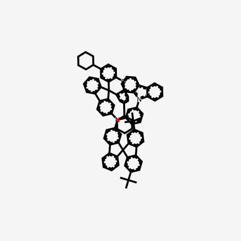 CC(C)(C)c1ccc2c(c1)C1(c3ccccc3-c3ccc(N(c4cccc(-n5c6ccccc6c6ccccc65)c4)c4ccc5c(c4)C4(c6cc(C7CCCCC7)ccc6Oc6ccc(C7CCCCC7)cc64)c4ccccc4-5)cc31)c1cc(C(C)(C)C)ccc1-2